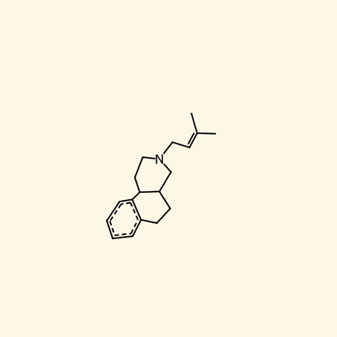 CC(C)=CCN1CCC2c3ccccc3CCC2C1